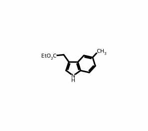 CCOC(=O)Cc1c[nH]c2ccc(C)cc12